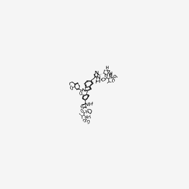 COC(=O)NC(C(=O)N1CCC[C@H]1c1ncc(-c2ccc3c(c2)OC(c2ccc4c(c2)OCCC4)n2c-3cc3cc(-c4cnc([C@@H]5C[C@H]6C[C@H]6N5C(=O)C(NC(=O)OC)C(C)C)[nH]4)ccc32)[nH]1)C(C)C